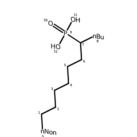 CCCCCCCCCCCCCCCC(CCCC)P(=O)(O)O